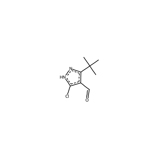 CC(C)(C)c1n[nH]c(Cl)c1C=O